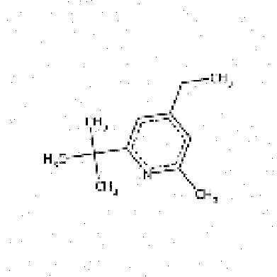 CCc1cc(C)nc(C(C)(C)C)c1